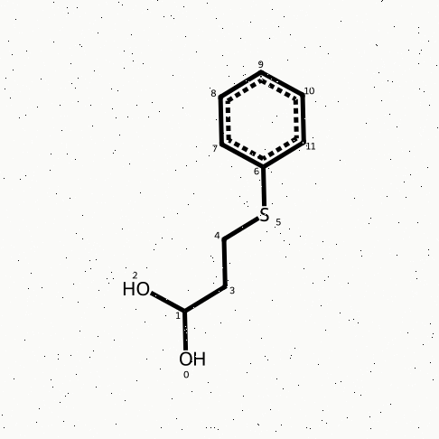 OC(O)CCSc1cc[c]cc1